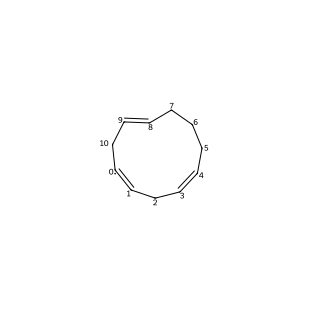 [C]1=C\C/C=C\CCC/C=C/C/1